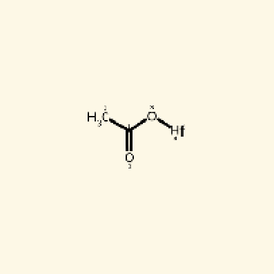 CC(=O)[O][Hf]